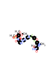 CCOc1cc([C@@H](CS(C)(=O)=O)N2C(=O)c3ccnc(N4CCN(C5CCN(CC(F)(F)c6ccc(Oc7cc8c(cc7F)c([C@@]7(C)CCC(=O)NC7=O)nn8C)cc6)CC5)CC4)c3C2=O)ccc1OC